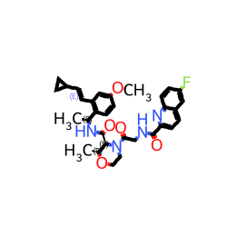 COc1ccc([C@H](C)NC(=O)[C@@H]2[C@@H](C)OCCN2C(=O)CNC(=O)c2ccc3cc(F)ccc3n2)c(/C=C/C2CC2)c1